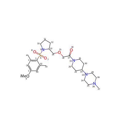 COc1cc(C)c(S(=O)(=O)N2CCCC2COCC(=O)N2CCC(N3CCN(C)CC3)CC2)c(C)c1